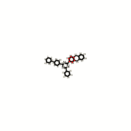 c1ccc(-c2ccc(-c3nc(-c4ccccc4)nc(-c4ccc5c(c4)C4c6ccccc6C5c5ccccc54)n3)cc2)cc1